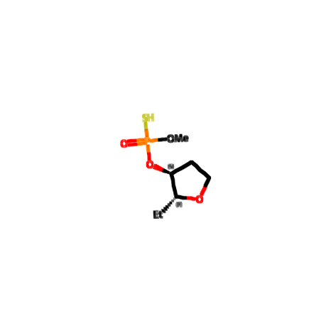 CC[C@H]1OCC[C@@H]1OP(=O)(S)OC